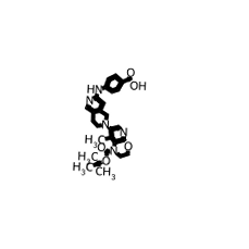 Cc1c(N2CCc3cnc(Nc4ccc(C(=O)O)cc4)cc3C2)cnc2c1N(C(=O)OC(C)(C)C)CCO2